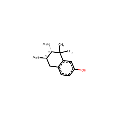 CN[C@H]1[C@H](SC)Cc2ccc(O)cc2C1(C)C